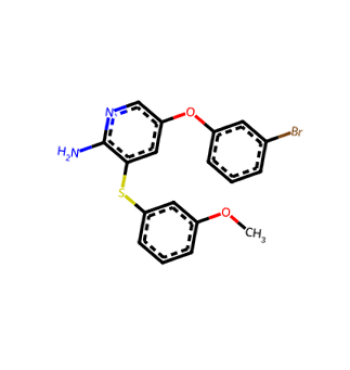 COc1cccc(Sc2cc(Oc3cccc(Br)c3)cnc2N)c1